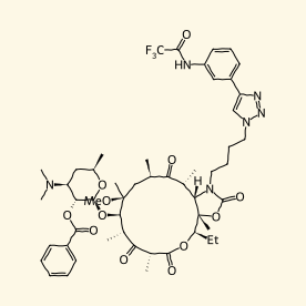 CC[C@H]1OC(=O)[C@H](C)C(=O)[C@H](C)[C@@H](O[C@@H]2O[C@H](C)C[C@H](N(C)C)[C@H]2OC(=O)c2ccccc2)[C@@](C)(OC)C[C@@H](C)C(=O)[C@H](C)[C@@H]2N(CCCCn3cc(-c4cccc(NC(=O)C(F)(F)F)c4)nn3)C(=O)O[C@@]21C